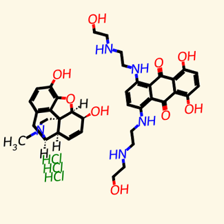 CN1CC[C@]23c4c5ccc(O)c4O[C@H]2[C@@H](O)C=C[C@H]3[C@H]1C5.Cl.Cl.Cl.O=C1c2c(O)ccc(O)c2C(=O)c2c(NCCNCCO)ccc(NCCNCCO)c21